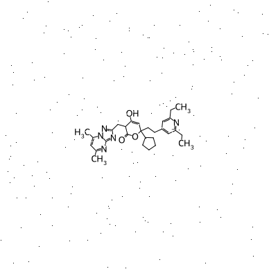 CCc1cc(CCC2(C3CCCC3)C=C(O)C(Cc3nc4nc(C)cc(C)n4n3)C(=O)O2)cc(CC)n1